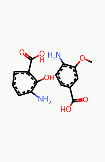 COc1cc(C(=O)O)ccc1N.Nc1cccc(C(=O)O)c1O